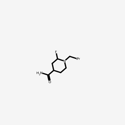 CC(C)CN1CCC(C(N)=O)CC1F